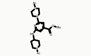 CC(=O)N1CCC(Nc2cc(C(=O)OC(C)(C)C)cc(N3CCN(C(C)=O)CC3)n2)CC1